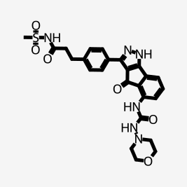 CS(=O)(=O)NC(=O)CCc1ccc(-c2n[nH]c3c2C(=O)c2c(NC(=O)NN4CCOCC4)cccc2-3)cc1